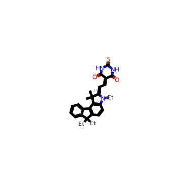 CCN1/C(=C\C=C2C(=O)NC(=S)NC2=O)C(C)(C)c2c1ccc1c2-c2ccccc2C1(CC)CC